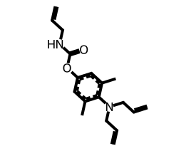 C=CCNC(=O)Oc1cc(C)c(N(CC=C)CC=C)c(C)c1